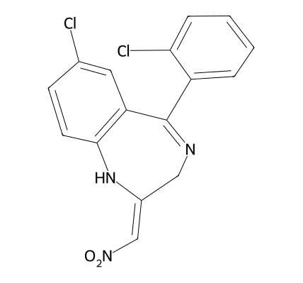 O=[N+]([O-])C=C1CN=C(c2ccccc2Cl)c2cc(Cl)ccc2N1